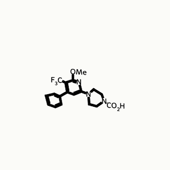 COc1nc(N2CCN(C(=O)O)CC2)cc(-c2ccccc2)c1C(F)(F)F